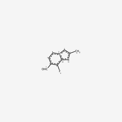 Cc1cn2ccc(C=O)c(F)c2n1